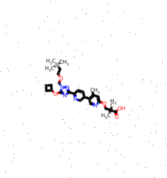 Cc1cc(OCC(C)(C)C(=O)O)ncc1C1C=CC(c2nc(OC3CCC3)n(COCC[Si](C)(C)C)n2)=NC1